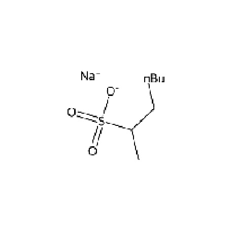 CCCCCC(C)S(=O)(=O)[O-].[Na+]